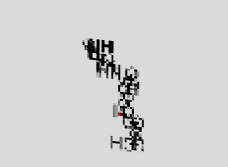 Cc1nc2ccc(C(=O)NC(C)(C)CNCC[C@@]34CC[C@]5(C)[C@H](CC[C@@]6(C)[C@@]5(C)CC[C@H]5C(C)(C)[C@@H](OC(=O)[C@H]7C[C@@H](C(=O)O)C7(C)C)CC[C@@]56C)C3=C(C(C)C)C(=O)C4)cc2[nH]1